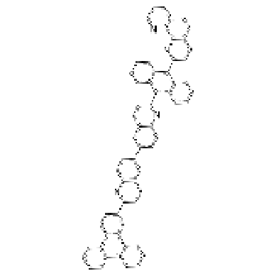 c1cnc2c(c1)ccc1ccc(-c3c4ccccc4c(-c4ccc5cc(-c6ccc7nc(-c8ccc9c%10ccccc%10c%10ccccc%10c9c8)ccc7c6)ccc5n4)c4ccccc34)nc12